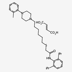 Cc1ccccc1N1CCN(CCCCCCSCC(=O)Nc2c(C(C)C)cccc2C(C)C)CC1.O=C(O)/C=C/C(=O)O